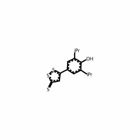 CC(C)c1cc(-c2cc(=S)ss2)cc(C(C)C)c1O